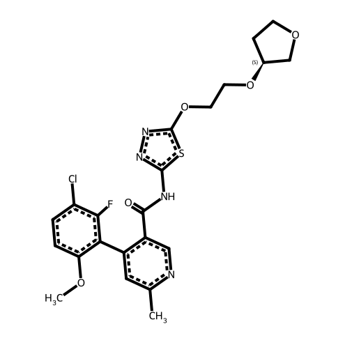 COc1ccc(Cl)c(F)c1-c1cc(C)ncc1C(=O)Nc1nnc(OCCO[C@H]2CCOC2)s1